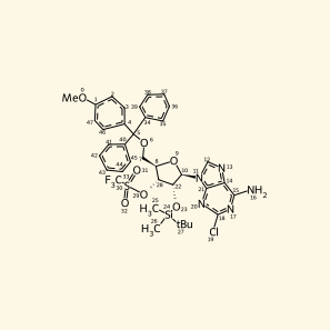 COc1ccc(C(OC[C@H]2O[C@@H](n3cnc4c(N)nc(Cl)nc43)[C@H](O[Si](C)(C)C(C)(C)C)[C@@H]2OS(=O)(=O)C(F)(F)F)(c2ccccc2)c2ccccc2)cc1